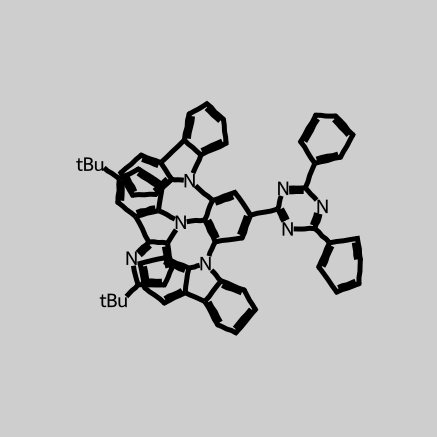 CC(C)(C)c1ccc2c(c1)c1nc(C(C)(C)C)ccc1n2-c1c(-n2c3ccccc3c3ccccc32)cc(-c2nc(-c3ccccc3)nc(-c3ccccc3)n2)cc1-n1c2ccccc2c2ccccc21